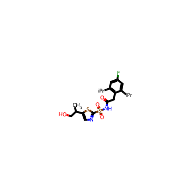 CC(C)c1cc(F)cc(C(C)C)c1CC(=O)NS(=O)(=O)c1ncc(C(C)CO)s1